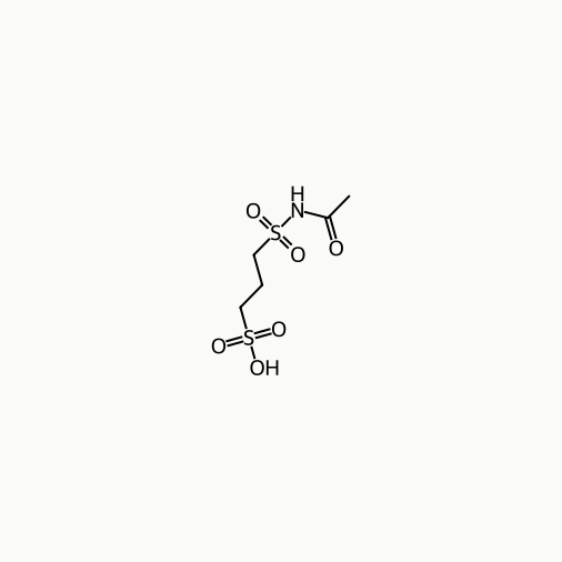 CC(=O)NS(=O)(=O)CCCS(=O)(=O)O